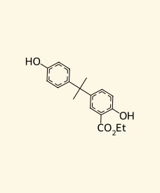 CCOC(=O)c1cc(C(C)(C)c2ccc(O)cc2)ccc1O